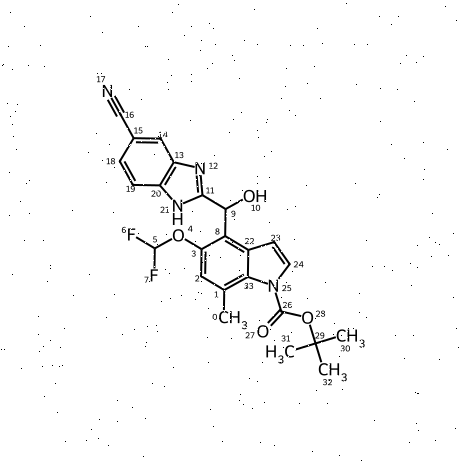 Cc1cc(OC(F)F)c(C(O)c2nc3cc(C#N)ccc3[nH]2)c2ccn(C(=O)OC(C)(C)C)c12